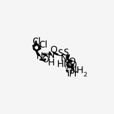 CC(C)C[C@H](NC(=O)c1csc(SCC(=O)NC[C@H]2CN(CC3C=C(Cl)C(Cl)=CC3)CCO2)n1)C(N)=O